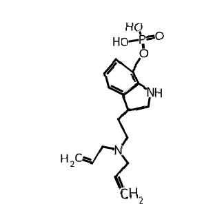 C=CCN(CC=C)CCC1CNc2c(OP(=O)(O)O)cccc21